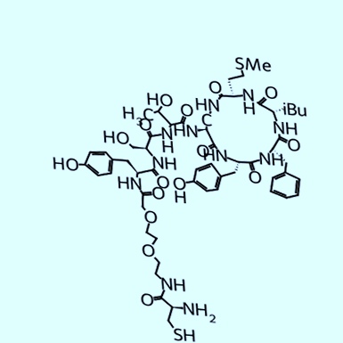 CCC(C)[C@@H]1NC(=O)[C@H](Cc2ccccc2)NC(=O)[C@H](Cc2ccc(O)cc2)NC(=O)[C@@H](NC(=O)[C@@H](NC(=O)[C@H](CO)NC(=O)[C@H](Cc2ccc(O)cc2)NC(=O)COCCOCCNC(=O)[C@@H](N)CS)C(C)O)CNC(=O)[C@H](CCSC)NC1=O